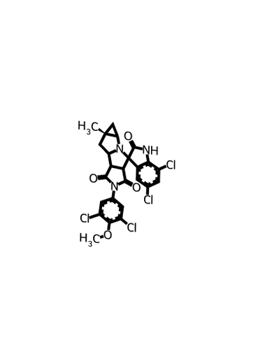 COc1c(Cl)cc(N2C(=O)C3C4C[C@]5(C)CC5N4C4(C(=O)Nc5c(Cl)cc(Cl)cc54)C3C2=O)cc1Cl